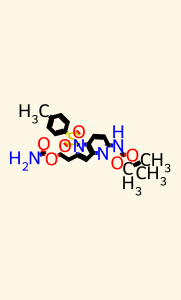 Cc1ccc(S(=O)(=O)n2c(CCOC(N)=O)cc3nc(NC(=O)OC(C)(C)C)ccc32)cc1